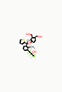 Cc1c(C(C)(Oc2ccc(CO)c(CO)c2)c2cccs2)cccc1C(F)(F)C(O)(F)C(F)(F)F